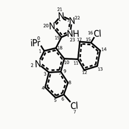 CC(C)c1nc2ccc(Cl)cc2c(-c2cccc(Cl)c2)c1-c1nnn[nH]1